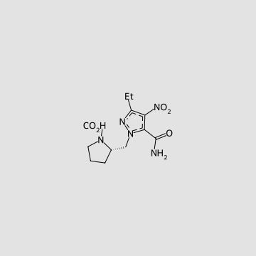 CCc1nn(C[C@@H]2CCCN2C(=O)O)c(C(N)=O)c1[N+](=O)[O-]